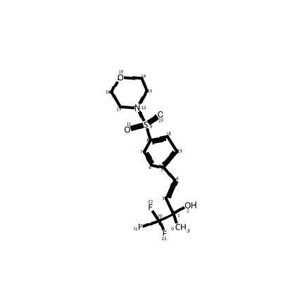 CC(O)(/C=C/c1ccc(S(=O)(=O)N2CCOCC2)cc1)C(F)(F)F